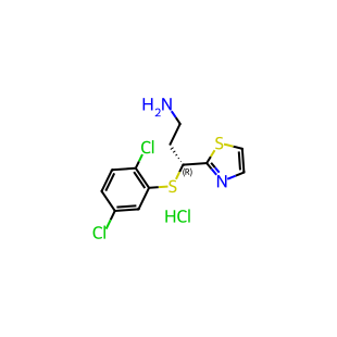 Cl.NCC[C@@H](Sc1cc(Cl)ccc1Cl)c1nccs1